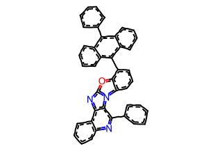 c1ccc(-c2c3ccccc3c(-c3cccc4c3oc3nc5c6ccccc6nc(-c6ccccc6)c5n34)c3ccccc23)cc1